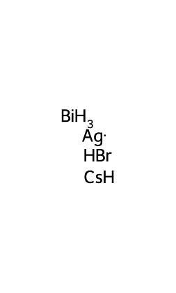 Br.[Ag].[BiH3].[CsH]